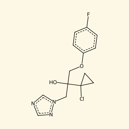 OC(COc1ccc(F)cc1)(Cn1cncn1)C1(Cl)CC1